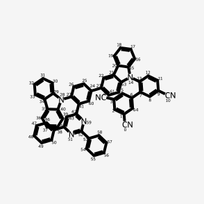 N#Cc1cc(C#N)cc(-c2cc(C#N)ccc2-n2c3ccccc3c3cc(-c4ccc(-n5c6ccccc6c6ccccc65)c(-c5cc(-c6ccccc6)nc(-c6ccccc6)n5)c4)ccc32)c1